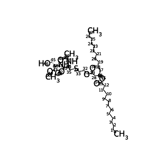 CCCCCCCCCCCCCC(=O)O[C@H](CCCCCCCCCCC)CC(=O)OCCSC[C@H](NC(C)=O)C(=O)N[C@@H](CO)C(=O)OC